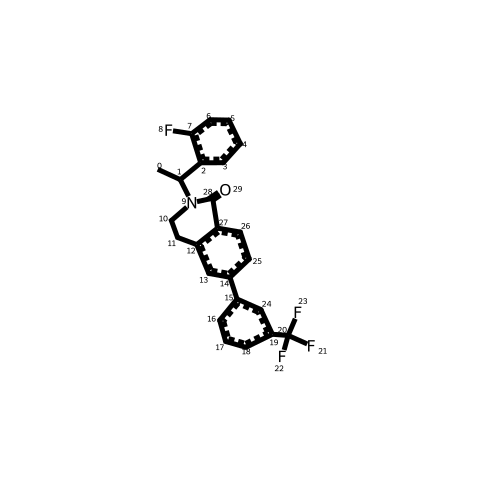 CC(c1ccccc1F)N1CCc2cc(-c3cccc(C(F)(F)F)c3)ccc2C1=O